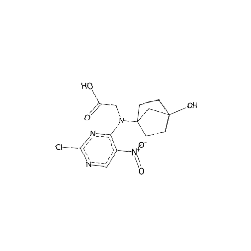 O=C(O)CN(c1nc(Cl)ncc1[N+](=O)[O-])C12CCC(O)(CC1)C2